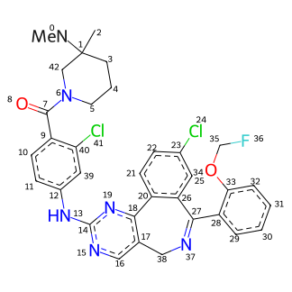 CNC1(C)CCCN(C(=O)c2ccc(Nc3ncc4c(n3)-c3ccc(Cl)cc3C(c3ccccc3OCF)=NC4)cc2Cl)C1